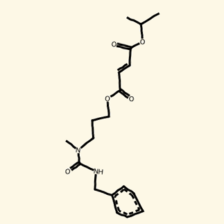 CC(C)OC(=O)/C=C/C(=O)OCCCN(C)C(=O)NCc1ccccc1